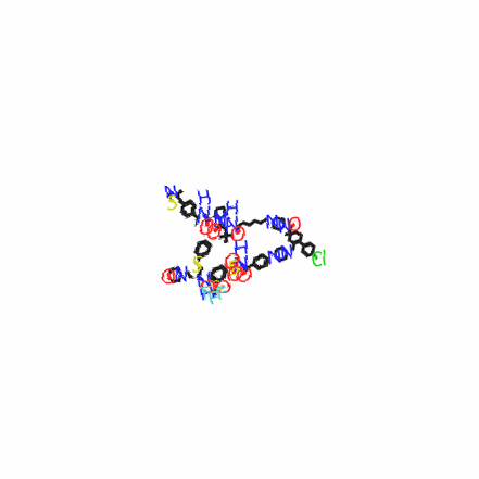 Cc1ncsc1-c1ccc([C@H](C)NC(=O)[C@@H]2CCCN2C(=O)[C@@H](NC(=O)CCCCCN2CCN(C(=O)C3(C)CCC(c4ccc(Cl)cc4)=C(CN4CCN(c5ccc(C(=O)NS(=O)(=O)c6ccc(N[C@H](CCN7CCOCC7)CSc7ccccc7)c(S(=O)(=O)C(F)(F)F)c6)cc5)CC4)C3)CC2)C(C)(C)C)cc1